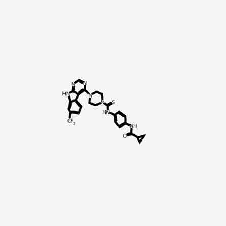 O=C(Nc1ccc(NC(=S)N2CCN(c3ncnc4[nH]c5cc(C(F)(F)F)ccc5c34)CC2)cc1)C1CC1